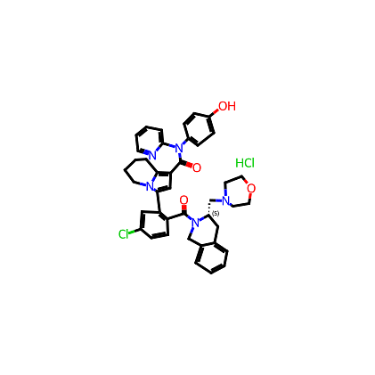 Cl.O=C(c1cc(-c2cc(Cl)ccc2C(=O)N2Cc3ccccc3C[C@H]2CN2CCOCC2)n2c1CCCC2)N(c1ccc(O)cc1)c1ccccn1